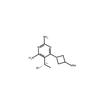 CNC1CN(c2nc(N)nc(N)c2[C@H](C)C(C)C)C1